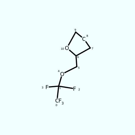 FC(F)(F)C(F)(F)OCC1CCCO1